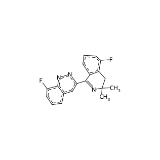 CC1(C)Cc2c(F)cccc2C(c2cc3cccc(F)c3nn2)=N1